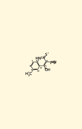 Cc1ccc2[nH]c(=S)c(C#N)c(O)c2c1